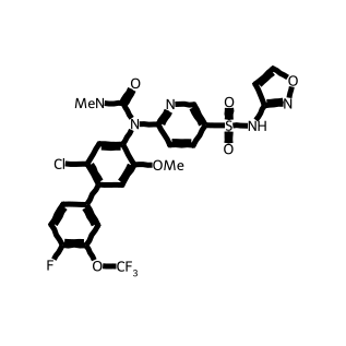 CNC(=O)N(c1ccc(S(=O)(=O)Nc2ccon2)cn1)c1cc(Cl)c(-c2ccc(F)c(OC(F)(F)F)c2)cc1OC